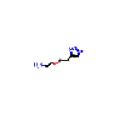 NCCOCCc1c[nH]nn1